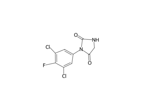 O=C1CNC(=O)N1c1cc(Cl)c(F)c(Cl)c1